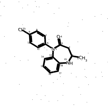 CC1CC(=O)N(c2ccc(Cl)cc2)c2ccccc2N1